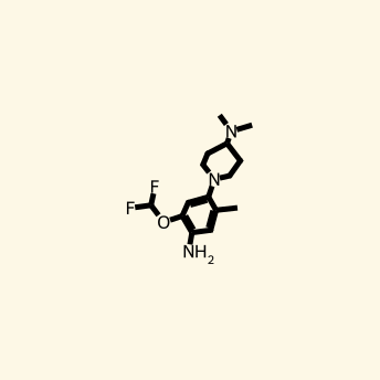 Cc1cc(N)c(OC(F)F)cc1N1CCC(N(C)C)CC1